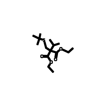 CCOC(=O)C(CSC(C)(C)C)(C(=O)OCC)C(C)C